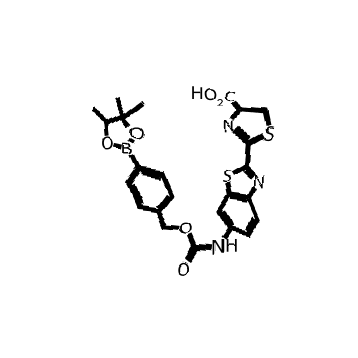 CC1OB(c2ccc(COC(=O)Nc3ccc4nc(C5=NC(C(=O)O)CS5)sc4c3)cc2)OC1(C)C